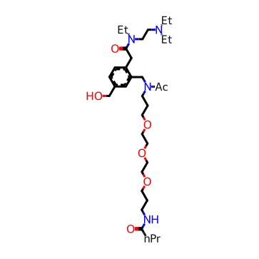 CCCC(=O)NCCCOCCOCCOCCCN(Cc1cc(CO)ccc1CC(=O)N(CC)CCN(CC)CC)C(C)=O